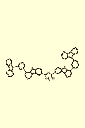 N=C(/N=C(\N)c1ccc2sc3c(-c4cccc(-n5c6ccccc6c6ncccc65)c4)cccc3c2c1)c1ccc2sc3c(-c4cccc(-n5c6ccccc6c6ncccc65)c4)cccc3c2c1